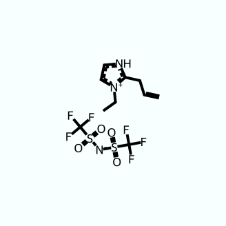 C=CCc1[nH]cc[n+]1CC.O=S(=O)([N-]S(=O)(=O)C(F)(F)F)C(F)(F)F